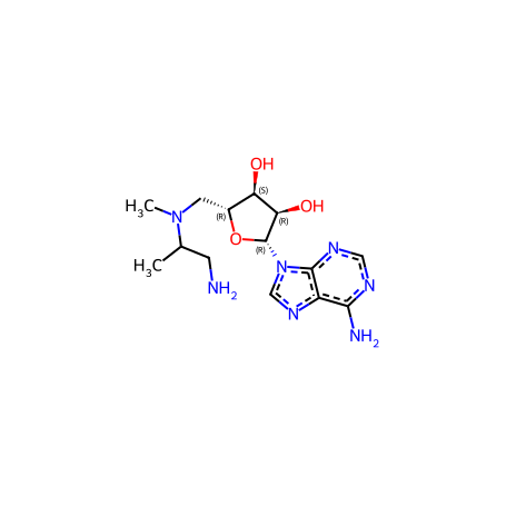 CC(CN)N(C)C[C@H]1O[C@@H](n2cnc3c(N)ncnc32)[C@H](O)[C@@H]1O